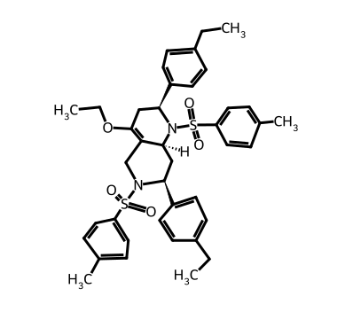 CCOC1=C2CN(S(=O)(=O)c3ccc(C)cc3)[C@H](c3ccc(CC)cc3)C[C@@H]2N(S(=O)(=O)c2ccc(C)cc2)[C@H](c2ccc(CC)cc2)C1